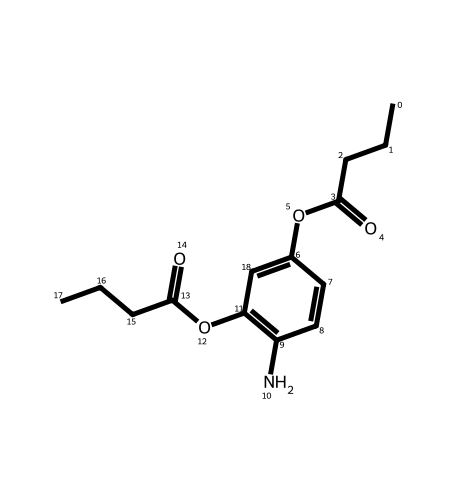 CCCC(=O)Oc1ccc(N)c(OC(=O)CCC)c1